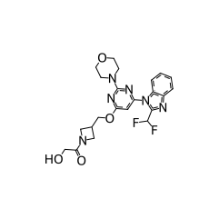 O=C(CO)N1CC(COc2cc(-n3c(C(F)F)nc4ccccc43)nc(N3CCOCC3)n2)C1